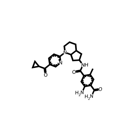 Cc1cc(C(N)=O)c(N)cc1C(=O)NC1CC2CCCN(c3ccc(C(=O)C4CC4)cn3)C2C1